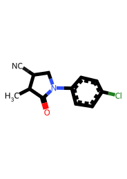 CC1C(=O)N(c2ccc(Cl)cc2)CC1C#N